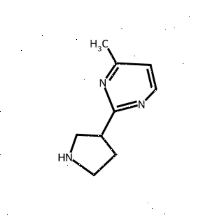 Cc1ccnc(C2CCNC2)n1